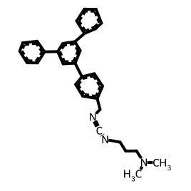 CN(C)CCCN=C=NCc1ccc(-c2cc(-c3ccccc3)cc(-c3ccccc3)c2)cc1